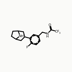 O=C(NCc1ccc(F)c(C2CC3CCC(C2)N3)c1)C(F)(F)F